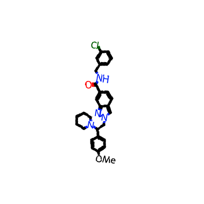 COc1ccc(C(Cn2cc3ccc(C(=O)NCc4cccc(Cl)c4)cc3n2)N2CCCCC2)cc1